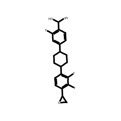 CCCC(O)c1ccc(C2CCC(c3ccc(C4CO4)c(F)c3F)CC2)cc1F